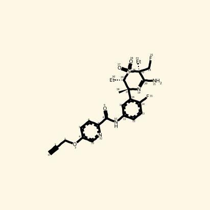 C#CCOc1ccc(C(=O)Nc2ccc(F)c([C@@]3(C)N=C(N)[C@](CC)(CF)S(=O)(=O)[C@H]3CC)c2)nc1